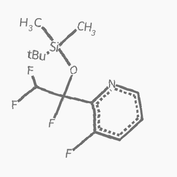 CC(C)(C)[Si](C)(C)OC(F)(c1ncccc1F)C(F)F